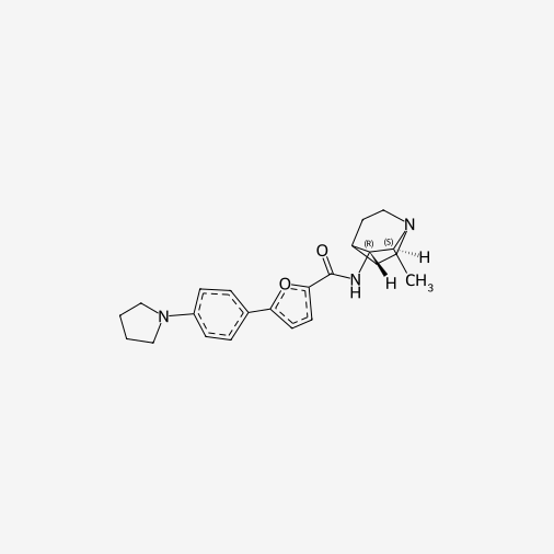 C[C@H]1[C@H](NC(=O)c2ccc(-c3ccc(N4CCCC4)cc3)o2)C2CCN1CC2